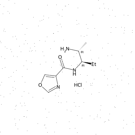 CC[C@@H](NC(=O)c1cocn1)[C@@H](C)N.Cl